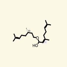 CC(C)=CCC/C(C)=C\C(O)OCC[C@@H](C)CCC=C(C)C